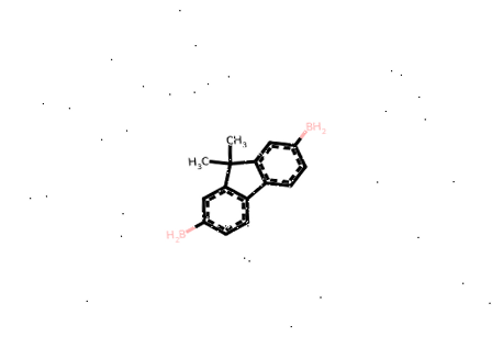 Bc1ccc2c(c1)C(C)(C)c1cc(B)ccc1-2